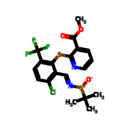 COC(=O)c1cccnc1Sc1c(C(F)(F)F)ccc(Cl)c1/C=N/[S+]([O-])C(C)(C)C